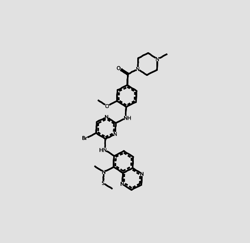 COc1cc(C(=O)N2CCN(C)CC2)ccc1Nc1ncc(Br)c(Nc2ccc3nccnc3c2N(C)SC)n1